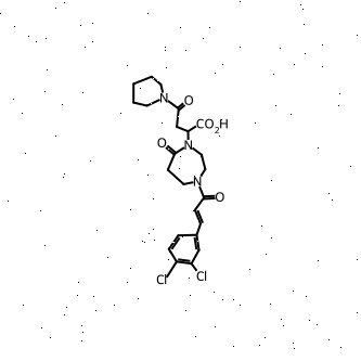 O=C(O)C(CC(=O)N1CCCCC1)N1CCN(C(=O)/C=C/c2ccc(Cl)c(Cl)c2)CCC1=O